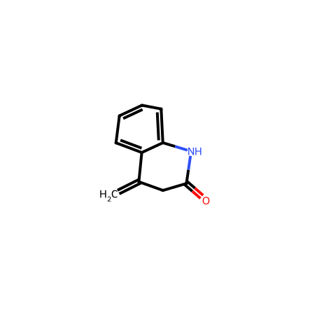 C=C1CC(=O)Nc2ccccc21